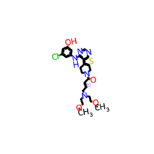 COCCN(C/C=C/C(=O)N1CCc2c(sc3ncnc(Nc4cc(O)cc(Cl)c4)c23)C1)CCOC